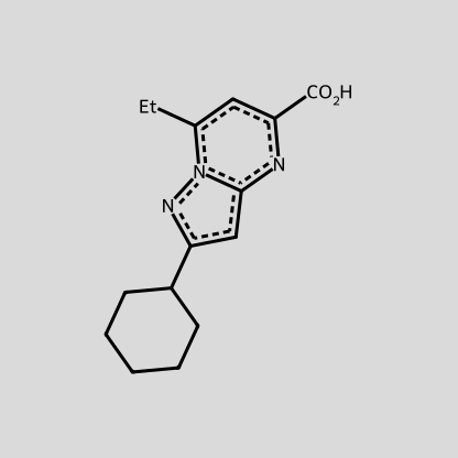 CCc1cc(C(=O)O)nc2cc(C3CCCCC3)nn12